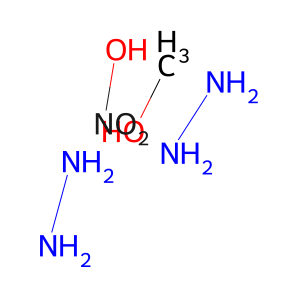 CO.NN.NN.O=[N+]([O-])O